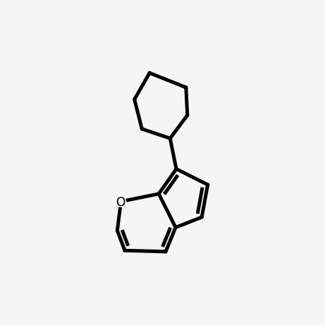 c1coc2c(C3CCCCC3)ccc-2c1